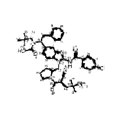 C[C@H](N(C(=O)O)C(Cc1ccccc1)c1ccc2c(c1)nc(NC(=O)c1ccc(Cl)cc1)n2CC1CCCN1C(=O)C(C#N)=CC(C)(C)N)C(C)(C)C